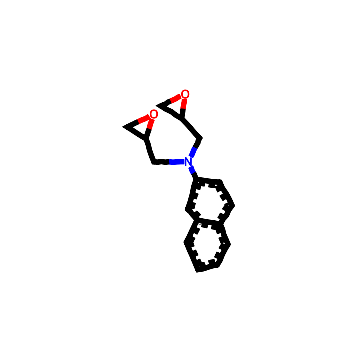 c1ccc2cc(N(CC3CO3)CC3CO3)ccc2c1